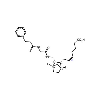 O=C(O)CCC/C=C\C[C@@H]1[C@@H]2CC[C@@H](C2)[C@@H]1CNC(=O)CNC(=O)CCc1ccccc1